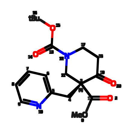 COC(=O)[C@]1(Cc2ccccn2)CN(C(=O)OC(C)(C)C)CCC1=O